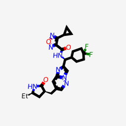 CC[C@@H]1C[C@H](Cc2cnn3cc([C@@H](NC(=O)c4nonc4C4CC4)C4CCC(F)(F)CC4)nc3c2)C(=O)N1